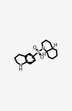 O=S(=O)(c1ccc2c(c1)CCCN2)N1CCC[C@H]2CCCC[C@@H]21